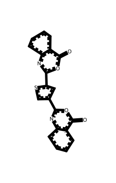 O=c1oc(-c2csc(-c3nc4ccccc4c(=O)o3)c2)nc2ccccc12